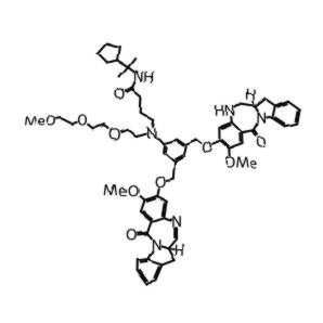 COCCOCCOCCN(CCCC(=O)NC(C)(C)C1CCCC1)c1cc(COc2cc3c(cc2OC)C(=O)N2c4ccccc4C[C@H]2C=N3)cc(COc2cc3c(cc2OC)C(=O)N2c4ccccc4C[C@H]2CN3)c1